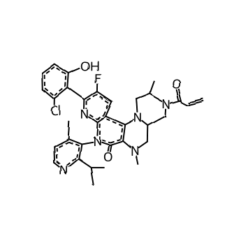 C=CC(=O)N1CC2CN(C)c3c(c4cc(F)c(-c5c(O)cccc5Cl)nc4n(-c4c(C)ccnc4C(C)C)c3=O)N2CC1C